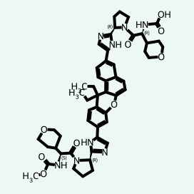 CCC1(CC)c2ccc(-c3cnc([C@H]4CCCN4C(=O)[C@@H](NC(=O)OC)C4CCOCC4)[nH]3)cc2Oc2ccc3cc(-c4cnc([C@H]5CCCN5C(=O)[C@H](NC(=O)O)C5CCOCC5)[nH]4)ccc3c21